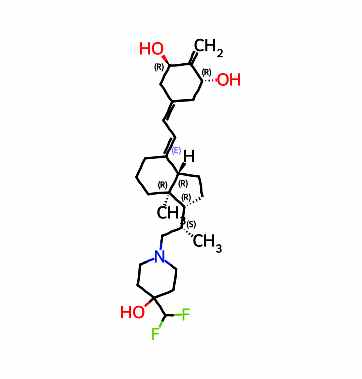 C=C1[C@H](O)CC(=C/C=C2\CCC[C@]3(C)[C@@H]([C@H](C)CN4CCC(O)(C(F)F)CC4)CC[C@@H]23)C[C@H]1O